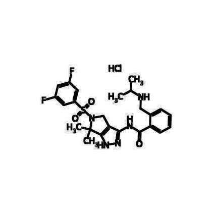 CC(C)NCc1ccccc1C(=O)Nc1n[nH]c2c1CN(S(=O)(=O)c1cc(F)cc(F)c1)C2(C)C.Cl